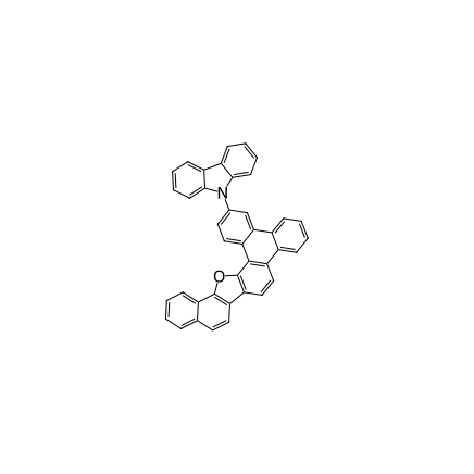 c1ccc2c(c1)ccc1c3ccc4c5ccccc5c5cc(-n6c7ccccc7c7ccccc76)ccc5c4c3oc21